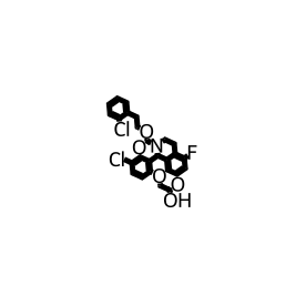 O=C(O)COc1ccc(Cl)cc1C1c2cccc(F)c2CCN1C(=O)OCCc1ccccc1Cl